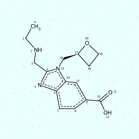 CCNCc1nc2ccc(C(=O)O)cc2n1C[C@@H]1CCO1